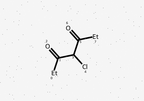 CCC(=O)C(Cl)C(=O)CC